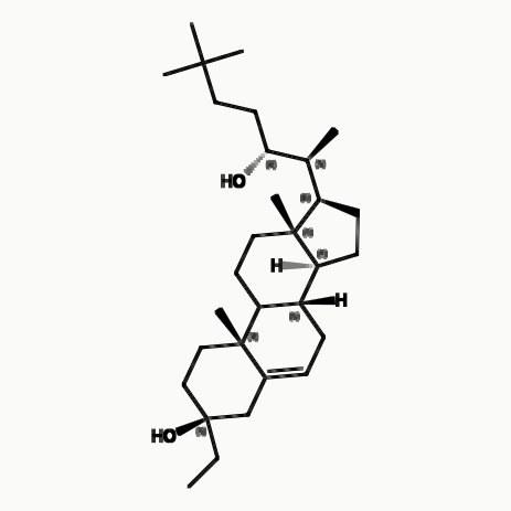 CC[C@]1(O)CC[C@@]2(C)C(=CC[C@@H]3C2CC[C@]2(C)[C@@H]([C@H](C)[C@H](O)CCC(C)(C)C)CC[C@@H]32)C1